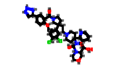 COc1ccc(C2C=NN=N2)cc1C(=O)N1CCC(CCN2CCC(NC(=O)N3CCOCC3C(=O)O)(c3ccccn3)CC2)(c2ccc(Cl)c(Cl)c2)C1